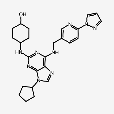 OC1CCC(Nc2nc(NCc3ccc(-n4cccn4)nc3)c3ncn(C4CCCC4)c3n2)CC1